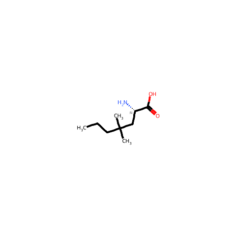 CCCC(C)(C)C[C@H](N)C(=O)O